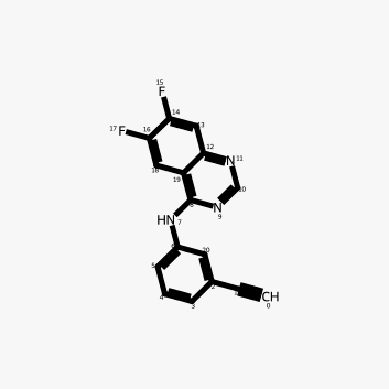 C#Cc1cccc(Nc2ncnc3cc(F)c(F)cc23)c1